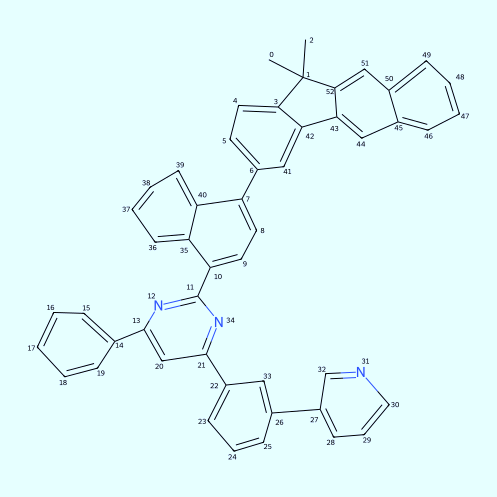 CC1(C)c2ccc(-c3ccc(-c4nc(-c5ccccc5)cc(-c5cccc(-c6cccnc6)c5)n4)c4ccccc34)cc2-c2cc3ccccc3cc21